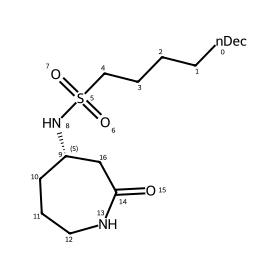 CCCCCCCCCCCCCCS(=O)(=O)N[C@H]1CCCNC(=O)C1